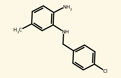 Cc1ccc(N)c(NCc2ccc(Cl)cc2)c1